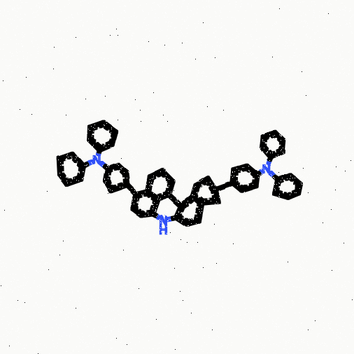 c1ccc(N(c2ccccc2)c2ccc(-c3ccc4c5c(ccc4c3)Nc3ccc(-c4ccc(N(c6ccccc6)c6ccccc6)cc4)c4cccc-5c34)cc2)cc1